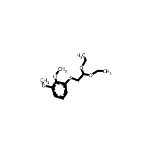 CCOC(CSc1cccc(OC)c1OC)OCC